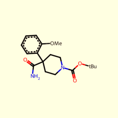 COc1ccccc1C1(C(N)=O)CCN(C(=O)OC(C)(C)C)CC1